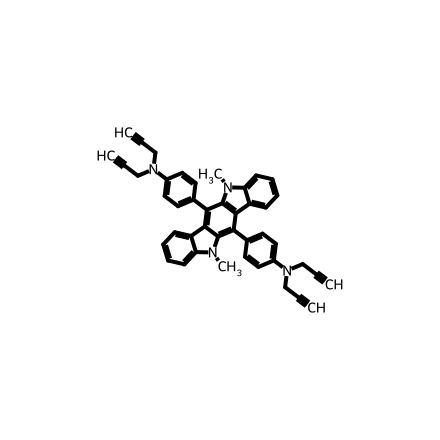 C#CCN(CC#C)c1ccc(-c2c3c4ccccc4n(C)c3c(-c3ccc(N(CC#C)CC#C)cc3)c3c4ccccc4n(C)c23)cc1